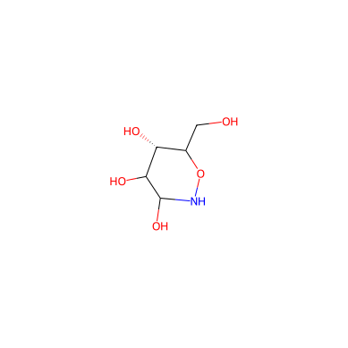 OCC1ONC(O)C(O)[C@@H]1O